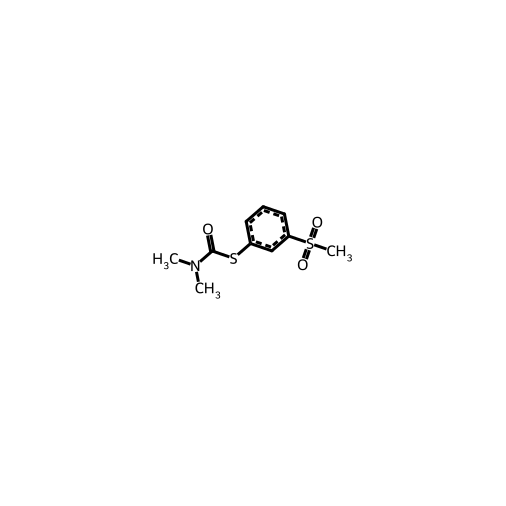 CN(C)C(=O)Sc1cccc(S(C)(=O)=O)c1